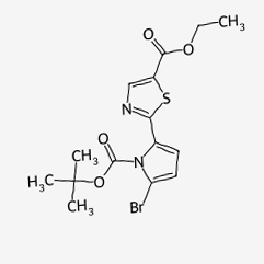 CCOC(=O)c1cnc(-c2ccc(Br)n2C(=O)OC(C)(C)C)s1